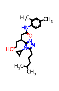 Cc1ccc(NC(=O)C[C@H](CCO)c2nnc(CCCC(C)C)n2C2CC2)c(C)c1